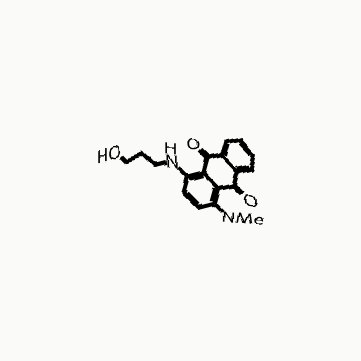 CNc1ccc(NCCCO)c2c1C(=O)c1ccccc1C2=O